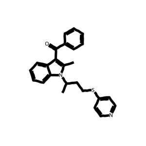 Cc1c(C(=O)c2ccccc2)c2ccccc2n1C(C)CCSc1ccncc1